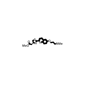 CNCCCOc1ccc2nc(C3=N[C@@H](CC(=O)OC)CS3)ccc2c1